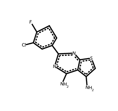 Nc1csc2nc(-c3ccc(F)c(Cl)c3)nc(N)c12